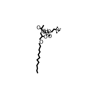 CCCCCCCCCCCCOCC(CNC(C)=O)OP(=O)([O-])OCC[N+](C)(C)C